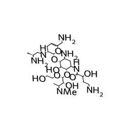 CN[C@@H](C)[C@@H](O)[C@H](OCCO)O[C@@H]1[C@@H](O)[C@H](O[C@H]2OC(CN)=CC[C@H]2NC[C@H](C)N)[C@@H](N)C[C@H]1NC(=O)[C@@H](O)CCN